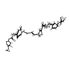 COC1CCC(CC(=O)Nc2ccn(CCCCn3cc(C(=O)NCc4cccc(OC(F)(F)F)c4)nn3)c(=O)c2)CC1